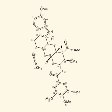 C=C=N.COC(=O)[C@H]1[C@H]2C[C@@H]3c4[nH]c5cc(OC)ccc5c4CCN3C[C@H]2C[C@@H](OC(=O)c2cc(OC)c(OC)c(OC)c2)[C@@H]1OC